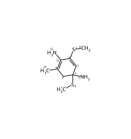 CSC1=CC(N)(SC)CC(C)=C1N